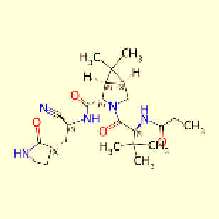 CCC(=O)N[C@H](C(=O)N1C[C@H]2[C@@H]([C@H]1C(=O)N[C@H](C#N)C[C@@H]1CCNC1=O)C2(C)C)C(C)(C)C